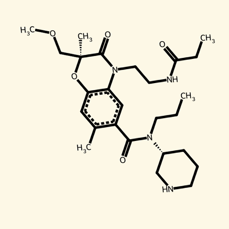 CCCN(C(=O)c1cc2c(cc1C)O[C@@](C)(COC)C(=O)N2CCNC(=O)CC)[C@@H]1CCCNC1